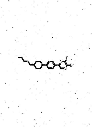 CCCCCC1CCC(c2ccc(-c3cnc(Br)c(F)n3)cc2)CC1